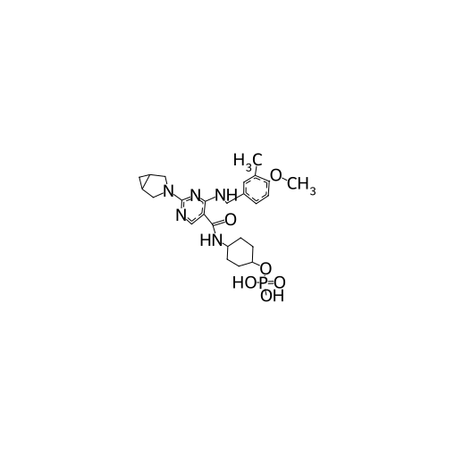 COc1ccc(CNc2nc(N3CC4CC4C3)ncc2C(=O)NC2CCC(OP(=O)(O)O)CC2)cc1C